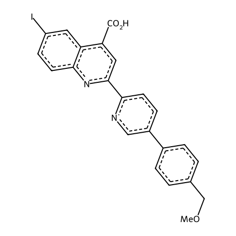 COCc1ccc(-c2ccc(-c3cc(C(=O)O)c4cc(I)ccc4n3)nc2)cc1